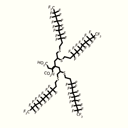 O=C(O)CC(C(=O)O)=C(CC(CSCCC(F)(F)C(F)(F)C(F)(F)C(F)(F)C(F)(F)C(F)(F)C(F)(F)C(F)(F)F)SCCC(F)(F)C(F)(F)C(F)(F)C(F)(F)C(F)(F)C(F)(F)C(F)(F)C(F)(F)F)CC(CSCCC(F)(F)C(F)(F)C(F)(F)C(F)(F)C(F)(F)C(F)(F)C(F)(F)C(F)(F)F)SCCC(F)(F)C(F)(F)C(F)(F)C(F)(F)C(F)(F)C(F)(F)C(F)(F)C(F)(F)F